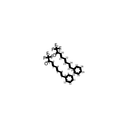 O=C(C=CC=CC=Cc1ccccc1)C(F)(F)F.O=C(C=CC=CC=Cc1ccccc1)C(F)(F)F